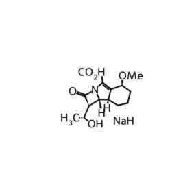 CO[C@H]1CCC[C@H]2C1=C(C(=O)O)N1C(=O)[C@H]([C@@H](C)O)[C@@H]21.[NaH]